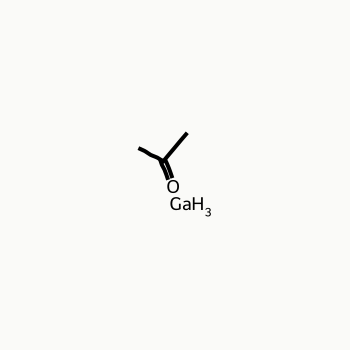 CC(C)=O.[GaH3]